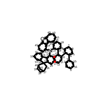 c1ccc(-c2ccccc2-c2ccccc2-c2ccccc2N(c2cccc3c2-c2ccccc2C32CC3CCC2C3)c2cccc3oc4ccccc4c23)cc1